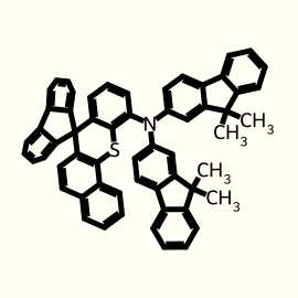 CC1(C)c2ccccc2-c2ccc(N(c3ccc4c(c3)C(C)(C)c3ccccc3-4)c3cccc4c3Sc3c(ccc5ccccc35)C43c4ccccc4-c4ccccc43)cc21